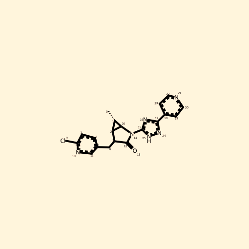 C[C@H]1C2C(Cc3ccc(Cl)nc3)C(=O)N(c3nc(-c4ccncc4)n[nH]3)C21